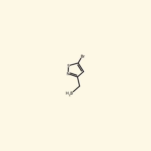 BCc1cc(Br)sn1